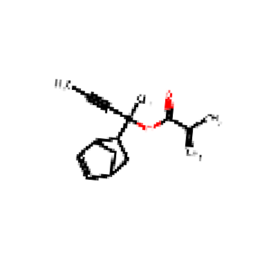 C=C(C)C(=O)OC(C)(C#CC)C1CC2C=CC1C2